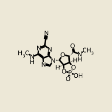 CNC(=O)[C@H]1O[C@@H](n2cnc3c(NC)nc(C#N)nc32)[C@@H]2OP(=O)(O)O[C@@H]21